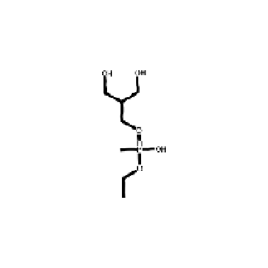 CCO[PH](C)(O)OCC(CO)CO